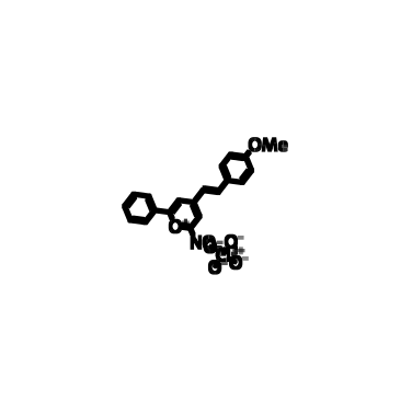 COc1ccc(C=Cc2cc(-c3ccccc3)[o+]c([N+](=O)[O-])c2)cc1.[O-][Cl+3]([O-])([O-])[O-]